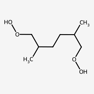 CC(CCC(C)COO)COO